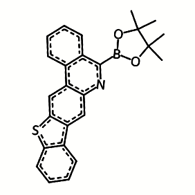 CC1(C)OB(c2nc3cc4c(cc3c3ccccc23)sc2ccccc24)OC1(C)C